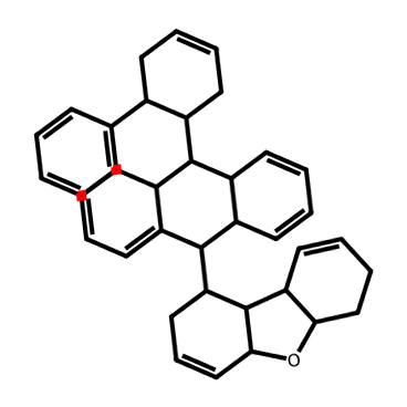 C1=CCC2C(=C1)C(C1CC=CC3OC4CCC=CC4C31)C1C=CC=CC1C2C1CC=CCC1c1ccccc1